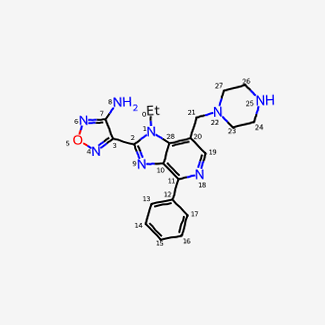 CCn1c(-c2nonc2N)nc2c(-c3ccccc3)ncc(CN3CCNCC3)c21